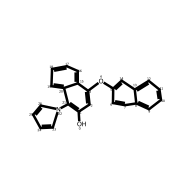 Oc1cc(Oc2ccc3ccccc3c2)c2ccccc2c1-n1cccc1